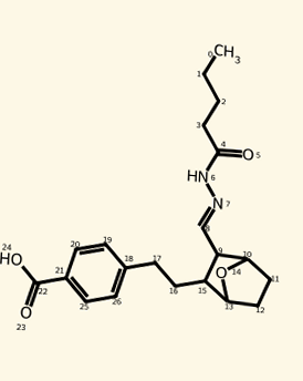 CCCCC(=O)NN=CC1C2CCC(O2)C1CCc1ccc(C(=O)O)cc1